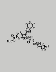 CC(C)(C)OC(=O)N1CCc2c(sc(NC(=O)CCNCc3c[nH]cn3)c2-c2nc3ccccc3s2)C1